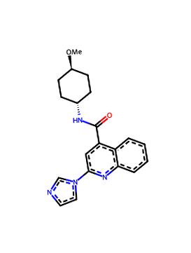 CO[C@H]1CC[C@H](NC(=O)c2cc(-n3ccnc3)nc3ccccc23)CC1